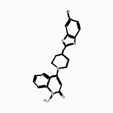 Cn1c(=O)cc(N2CCC(c3nc4ccc(Br)cc4s3)CC2)c2ccccc21